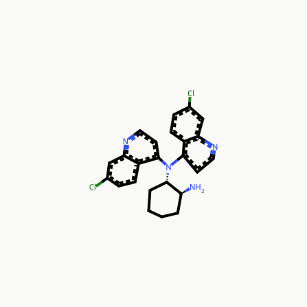 N[C@H]1CCCC[C@@H]1N(c1ccnc2cc(Cl)ccc12)c1ccnc2cc(Cl)ccc12